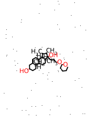 C=C1C(=C)C(O)(CCCOC2CCCCO2)[C@@]2(C)CC[C@@H]3[C@@H](CC=C4CC(O)CC[C@@]43C)[C@H]12